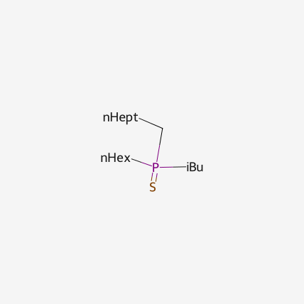 CCCCCCCCP(=S)(CCCCCC)C(C)CC